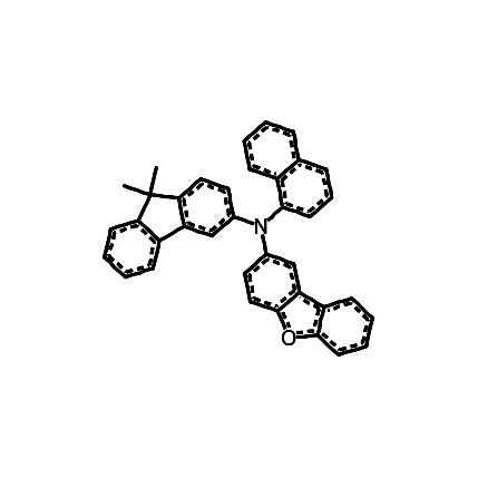 CC1(C)c2ccccc2-c2cc(N(c3ccc4oc5ccccc5c4c3)c3cccc4ccccc34)ccc21